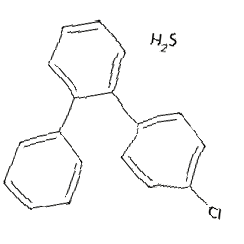 Clc1ccc(-c2ccccc2-c2ccccc2)cc1.S